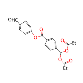 CCC(=O)OC(OC(=O)CC)c1ccc(C(=O)Oc2ccc(C=O)cc2)cc1